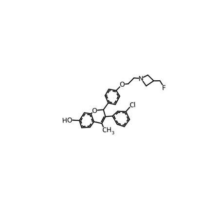 CC1=C(c2cccc(Cl)c2)C(c2ccc(OCCN3CC(CF)C3)cc2)Oc2cc(O)ccc21